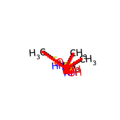 CCCCCCCCCCCCSSCCOC(=O)CCNCCN(C)CCC1=CC=CNC(CCC(=O)O)=C1C(CCSSCCCCCCCCCCCC)(CCSSCCCCCCCCCCCC)CC(=O)O